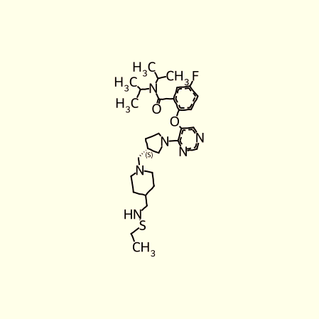 CCSNCC1CCN(C[C@@H]2CCN(c3ncncc3Oc3ccc(F)cc3C(=O)N(C(C)C)C(C)C)C2)CC1